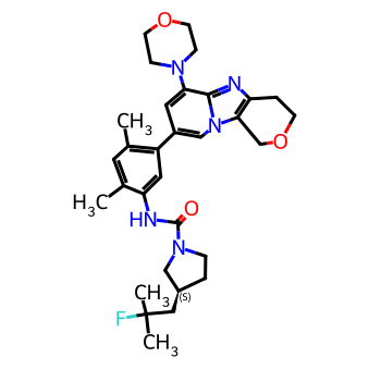 Cc1cc(C)c(-c2cc(N3CCOCC3)c3nc4c(n3c2)COCC4)cc1NC(=O)N1CC[C@@H](CC(C)(C)F)C1